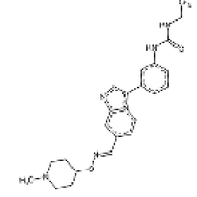 CN1CCC(ON=Cc2ccn3c(-c4cccc(NC(=O)NCC(F)(F)F)c4)cnc3c2)CC1